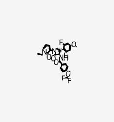 CCn1cccc(N2C[C@@H](c3c(F)cc(OC)cc3F)C(NC(=O)c3ccc(OC(F)F)cc3)C2=O)c1=O